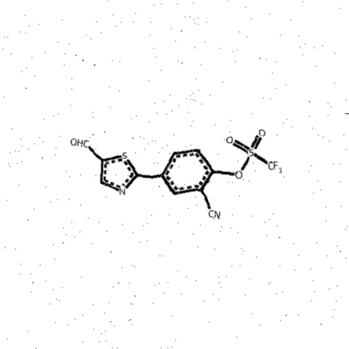 N#Cc1cc(-c2ncc(C=O)s2)ccc1OS(=O)(=O)C(F)(F)F